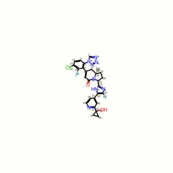 O=C1C=C(c2c(-n3cnnn3)ccc(Cl)c2F)C[C@H]2CCC(c3nc(F)c(-c4ccnc(C5(O)CC5)c4)[nH]3)N12